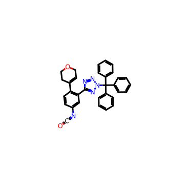 O=C=Nc1ccc(C2=CCOCC2)c(-c2nnn(C(c3ccccc3)(c3ccccc3)c3ccccc3)n2)c1